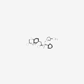 CN(C(=O)Cc1ccc2c(c1)NC(=O)CS2)[C@H](CN1CCC(O)C1)c1ccccc1